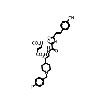 N#Cc1ccc(C=Cc2nc(C(=O)NCCC3CCN(Cc4ccc(F)cc4)CC3)no2)cc1.O=C(O)C=CC(=O)O